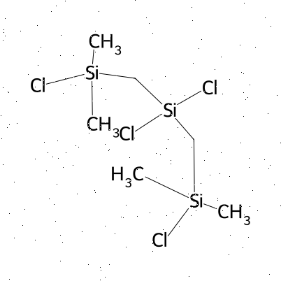 C[Si](C)(Cl)C[Si](Cl)(Cl)C[Si](C)(C)Cl